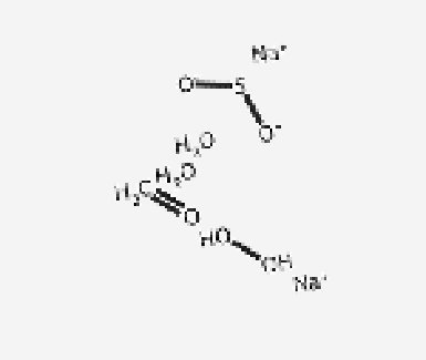 C=O.O.O.OO.[Na+].[Na+].[O-]S[O-]